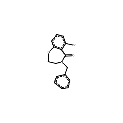 O=C1c2c(Br)cccc2OCCN1Cc1ccccc1